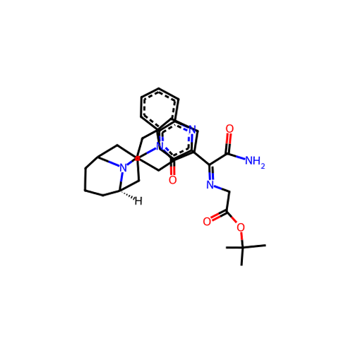 CC(C)(C)OC(=O)C/N=C(\C(N)=O)c1nc2ccccc2n(C2CC3CCC[C@H](C2)N3C2CC3CCCC(C3)C2)c1=O